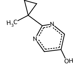 CC1(c2ncc(O)cn2)CC1